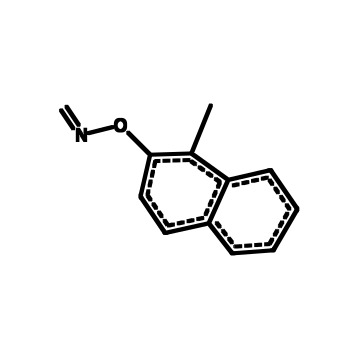 C=NOc1ccc2ccccc2c1C